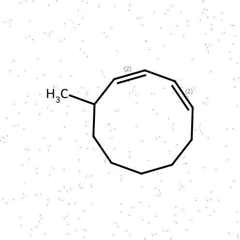 CC1/C=C\C=C/CCCCC1